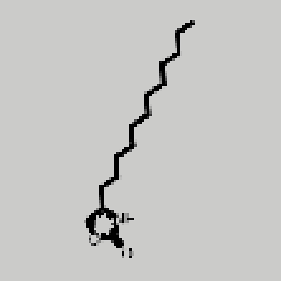 CCCCCCCCCCCCc1coc(=O)[nH]1